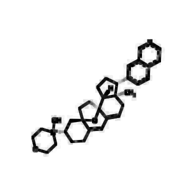 C[C@]12CC=C3C=C4CC[C@H]([N+]5(O)CCOCC5)C[C@]45CC[C@]3(O5)[C@@H]1CC[C@@H]2c1ccc2ccncc2c1